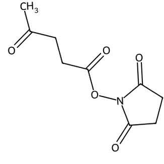 CC(=O)CCC(=O)ON1C(=O)CCC1=O